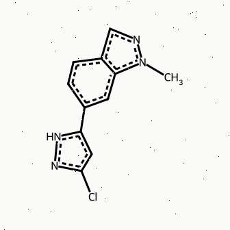 Cn1ncc2ccc(-c3cc(Cl)n[nH]3)cc21